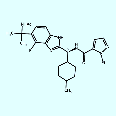 CCn1nccc1C(=O)N[C@H](c1nc2c(F)c(C(C)(C)NC(C)=O)ccc2[nH]1)C1CCC(C)CC1